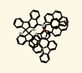 CC(C)(C)C1(C2(C(C)(C)C)c3ccccc3-c3c2cc(N(c2ccc4ccc5cccc6ccc2c4c56)c2cccc4c2oc2ccccc24)c2ccccc32)c2ccccc2-c2c1cc(N(C1=CC=C3C=Cc4cccc5c4C3C1C=C5)c1cccc3c1oc1ccccc13)c1ccccc21